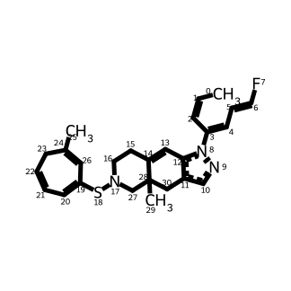 C\C=C/C(=C\C=C\F)n1ncc2c1C=C1CCN(SC3=CC=CCC(C)=C3)CC1(C)C2